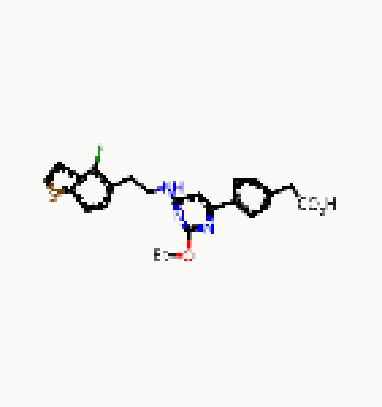 CCOc1nc(NCCc2ccc3sccc3c2F)cc(-c2ccc(CC(=O)O)cc2)n1